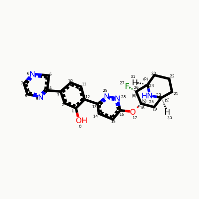 Oc1cc(-c2cnccn2)ccc1-c1ccc(O[C@H]2C[C@@H]3CCC[C@@H](N3)[C@H]2F)nn1